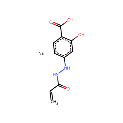 C=CC(=O)NNc1ccc(C(=O)O)c(O)c1.[Na]